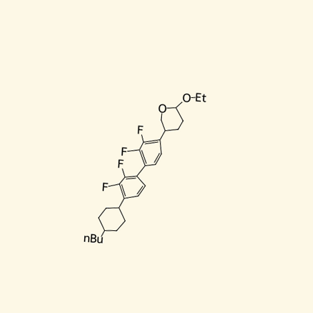 CCCCC1CCC(c2ccc(-c3ccc(C4CCC(OCC)OC4)c(F)c3F)c(F)c2F)CC1